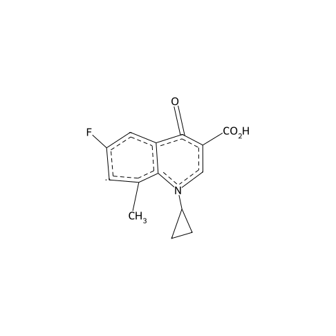 Cc1[c]c(F)cc2c(=O)c(C(=O)O)cn(C3CC3)c12